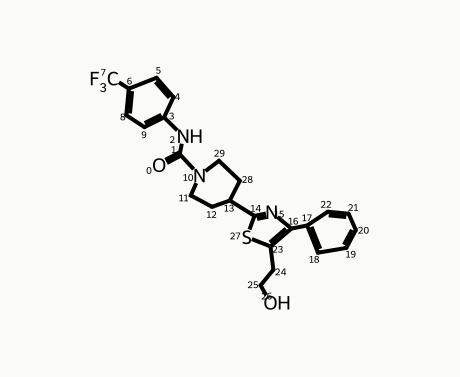 O=C(Nc1ccc(C(F)(F)F)cc1)N1CCC(c2nc(-c3ccccc3)c(CCO)s2)CC1